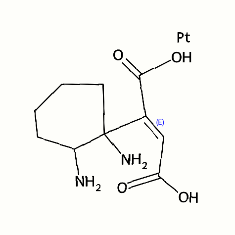 NC1CCCCC1(N)/C(=C\C(=O)O)C(=O)O.[Pt]